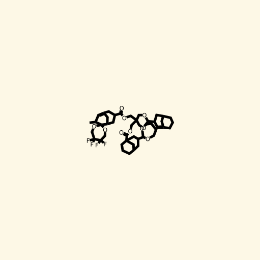 CC1C=C2CC(C(=O)OCC3(COC(=O)C45CCCC(CC(C6OCCCCO6)C4)C5)COC(C4C=C5CCCC(C5)C4)OC3)CC(C2)C12OCC(F)(F)C(F)(F)CO2